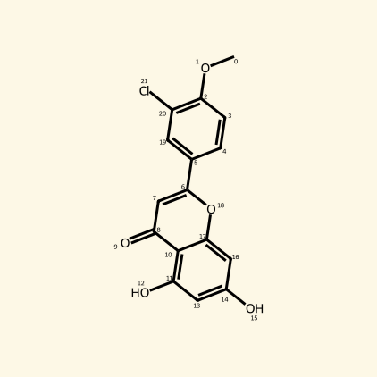 COc1ccc(-c2cc(=O)c3c(O)cc(O)cc3o2)cc1Cl